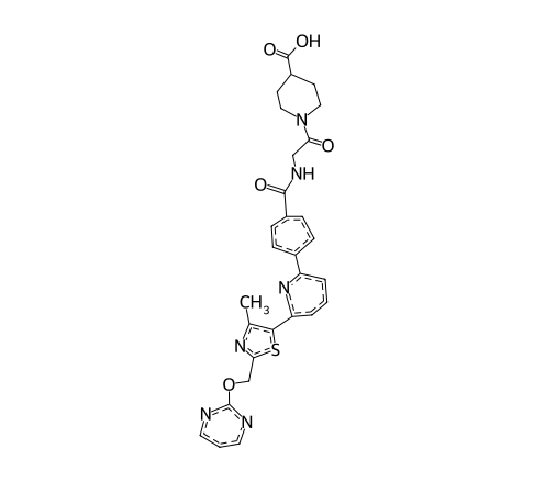 Cc1nc(COc2ncccn2)sc1-c1cccc(-c2ccc(C(=O)NCC(=O)N3CCC(C(=O)O)CC3)cc2)n1